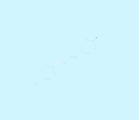 CCCC[C@H]1CC[C@H](/C=C/COc2ccc(C#N)cc2)CC1